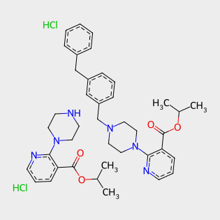 CC(C)OC(=O)c1cccnc1N1CCN(Cc2cccc(Cc3ccccc3)c2)CC1.CC(C)OC(=O)c1cccnc1N1CCNCC1.Cl.Cl